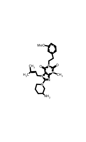 COc1cccc(CCn2c(=O)c3c(nc(N4CCCC(N)C4)n3CC=C(C)C)n(C)c2=O)c1